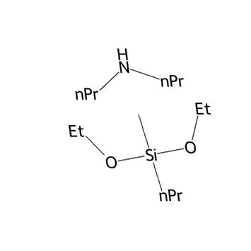 CCCNCCC.CCC[Si](C)(OCC)OCC